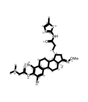 CO/N=C1\C[C@@H](CCC(=O)Nc2ncc(C)s2)C2C3CCc4c(cc(Br)c(OC(=O)CN(C)C)c4Br)C3CC[C@]12C